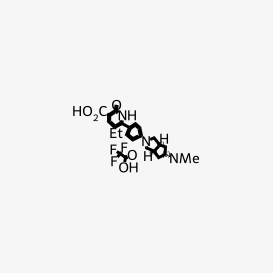 CCc1cc(C(=O)O)c(=O)[nH]c1-c1ccc(N2C[C@H]3C[C@H](NC)C[C@H]3C2)cc1.O=C(O)C(F)(F)F